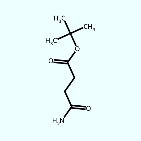 CC(C)(C)OC(=O)CCC(N)=O